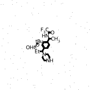 CC(C)(C)OC=O.CCC(c1ccc(C(C)NC(=O)C(F)(F)F)cc1)N1CCNCC1